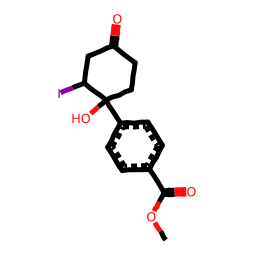 COC(=O)c1ccc(C2(O)CCC(=O)CC2I)cc1